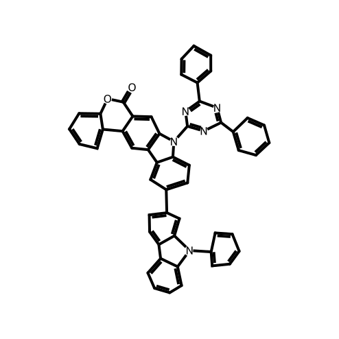 O=c1oc2ccccc2c2cc3c4cc(-c5ccc6c7ccccc7n(-c7ccccc7)c6c5)ccc4n(-c4nc(-c5ccccc5)nc(-c5ccccc5)n4)c3cc12